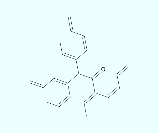 C=C/C=C\C(=C/C)C(=O)C(C(/C=C\C=C)=C/C)C(/C=C\C)=C/C=C